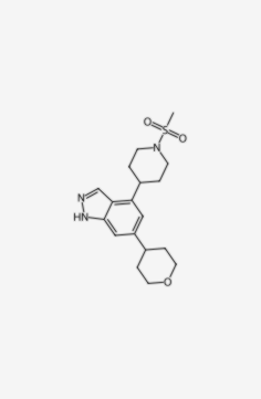 CS(=O)(=O)N1CCC(c2cc(C3CCOCC3)cc3[nH]ncc23)CC1